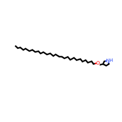 CCCCCCCCCCCCCCCCCCCCCCCCCCCCOCC1CCNC1